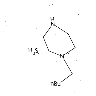 CCCCCN1CCNCC1.S